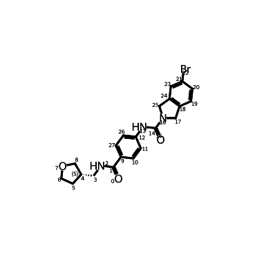 O=C(NC[C@@H]1CCOC1)c1ccc(NC(=O)N2Cc3ccc(Br)cc3C2)cc1